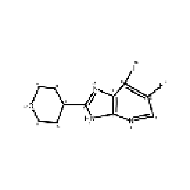 Fc1cnc2[nH]c(C3CCOCC3)nc2c1I